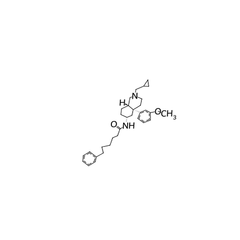 COc1cccc([C@@]23CCN(CC4CC4)C[C@H]2CC[C@@H](NC(=O)CCCCCc2ccccc2)C3)c1